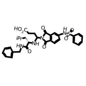 CC(C)C[C@H](NC(CCC(=O)O)N1C(=O)c2ccc(NS(=O)(=O)c3ccccc3)cc2C1=O)C(=O)NCc1ccccc1